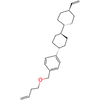 C=CCCOCc1ccc([C@H]2CC[C@H]([C@H]3CC[C@H](C=C)CC3)CC2)cc1